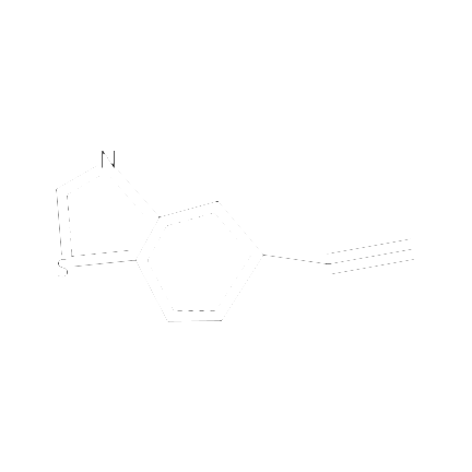 C#Cc1ccc2scnc2c1